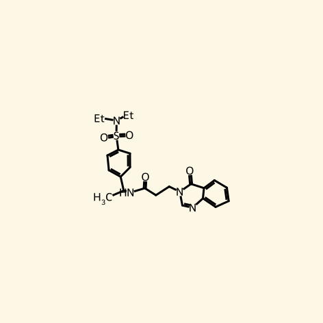 CCN(CC)S(=O)(=O)c1ccc(C(C)NC(=O)CCn2cnc3ccccc3c2=O)cc1